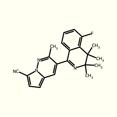 Cc1nn2c(C#N)ccc2cc1C1=NC(C)(C)C(C)(C)c2c(F)cccc21